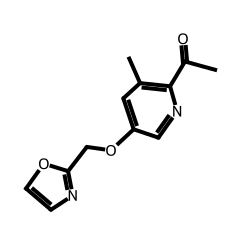 CC(=O)c1ncc(OCc2ncco2)cc1C